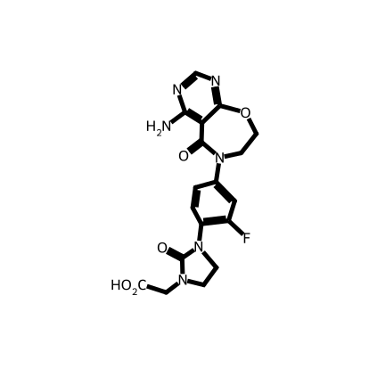 Nc1ncnc2c1C(=O)N(c1ccc(N3CCN(CC(=O)O)C3=O)c(F)c1)CCO2